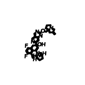 C#Cc1c(F)cc(F)c2c1C(N1C[C@H]3CC[C@@H](C1)N3)=CC(O)(c1cc3nc(OCC45CCCN4CC(=C)C5)ncc3cn1)C2